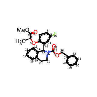 COC(=O)[C@H](C)Oc1ccc(F)cc1[C@@H]1c2ccccc2CCN1C(=O)OCc1ccccc1